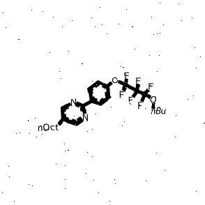 CCCCCCCCc1cnc(-c2ccc(OC(F)(F)C(F)(F)C(F)(F)OCCCC)cc2)nc1